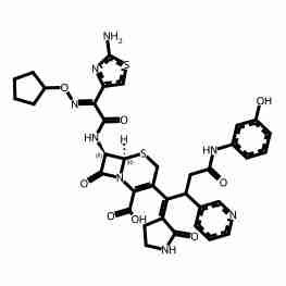 Nc1nc(C(=NOC2CCCC2)C(=O)N[C@@H]2C(=O)N3C(C(=O)O)=C(C(=C4CCNC4=O)C(CC(=O)Nc4cccc(O)c4)c4cccnc4)CS[C@H]23)cs1